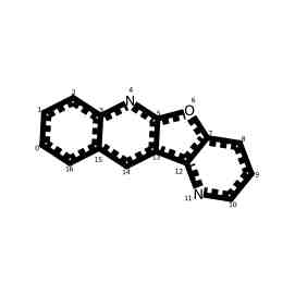 c1ccc2nc3oc4cccnc4c3cc2c1